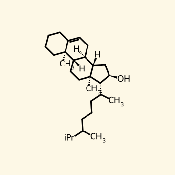 CC(C)C(C)CCCC(C)[C@H]1[C@H](O)C[C@H]2[C@@H]3CC=C4CCCC[C@]4(C)[C@H]3CC[C@@]21C